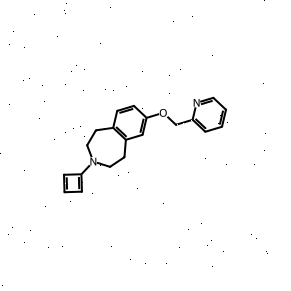 C1=CC(N2CCc3ccc(OCc4ccccn4)cc3CC2)=C1